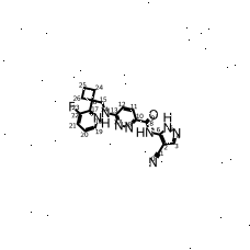 N#Cc1cn[nH]c1NC(=O)c1ccc(NCC2(c3ncccc3F)CCC2)nn1